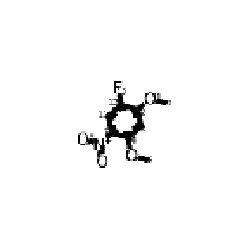 COc1cc(OC)c([N+](=O)[O-])cc1F